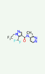 CN(C(=O)c1cnn(CC(F)(F)F)c1C(F)F)c1ccnnc1